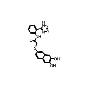 O=C(CSc1ccc2cc(O)c(O)cc2c1)Nc1ccccc1-c1nnn[nH]1